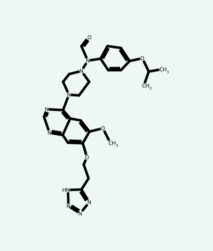 COc1cc2c(N3CCN(N(C=O)c4ccc(OC(C)C)cc4)CC3)ncnc2cc1OCCc1nnn[nH]1